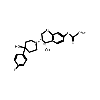 COC(=O)Oc1ccc2c(c1)OC[C@@H](N1CCC(O)(c3ccc(F)cc3)CC1)[C@H]2O